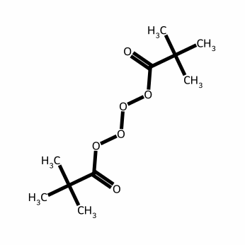 CC(C)(C)C(=O)OOOOC(=O)C(C)(C)C